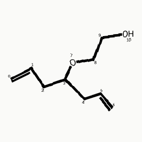 C=CCC(CC=C)OCCO